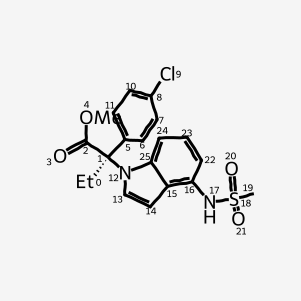 CC[C@](C(=O)OC)(c1ccc(Cl)cc1)n1ccc2c(NS(C)(=O)=O)cccc21